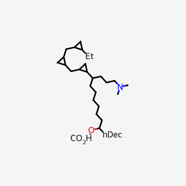 CCCCCCCCCCC(CCCCCCC(CCCN(C)C)C1CC1CC1CC1CC1CC1CC)OC(=O)O